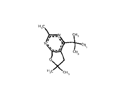 Cc1nc2c(c(C(C)(C)C)n1)CC(C)(C)O2